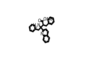 COC(=O)C(Cc1ccccc1)C(N)(Cc1ccccc1)c1ccc2ccccc2n1